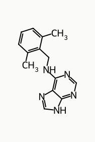 Cc1cccc(C)c1CNc1ncnc2[nH]cnc12